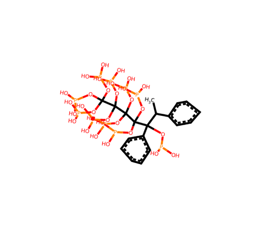 CC(c1ccccc1)C(OP(O)O)(c1ccccc1)C(OP(O)O)(OP(O)O)C(OP(O)O)(OP(O)O)C(OP(O)O)(OP(O)O)C(OP(O)O)(OP(O)O)OP(O)O